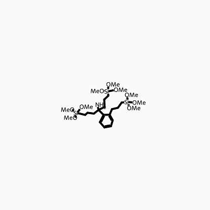 CO[Si](CCCc1ccccc1C(N)(CCC[Si](OC)(OC)OC)CCC[Si](OC)(OC)OC)(OC)OC